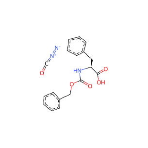 O=C(N[C@@H](Cc1ccccc1)C(=O)O)OCc1ccccc1.[N-]=[N+]=C=O